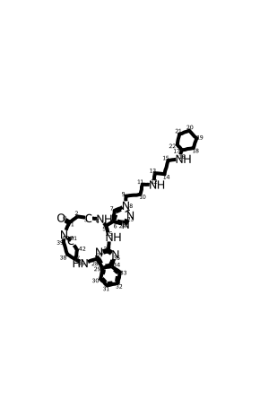 O=C1CCNC(c2cn(CCCNCCCNC3CCCCC3)nn2)Nc2nc(c3ccccc3n2)NC2CCN1CC2